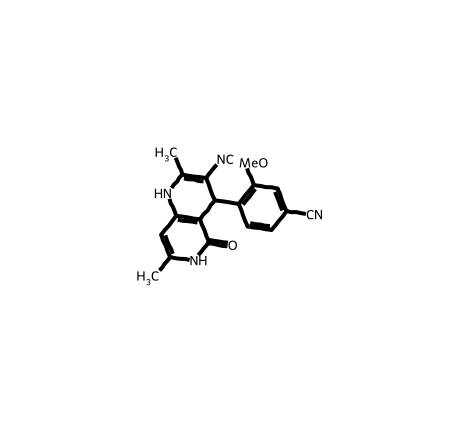 [C-]#[N+]C1=C(C)Nc2cc(C)[nH]c(=O)c2C1c1ccc(C#N)cc1OC